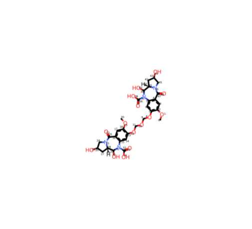 COc1cc2c(cc1OCOCOc1cc3c(cc1OC)C(=O)N1CC(O)C[C@H]1C(O)N3C(=O)O)N(C(=O)O)C(O)[C@@H]1CC(O)CN1C2=O